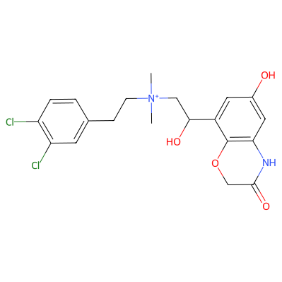 C[N+](C)(CCc1ccc(Cl)c(Cl)c1)CC(O)c1cc(O)cc2c1OCC(=O)N2